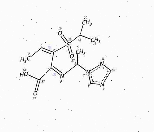 C/C=C(\C(=N/C(C)n1cncn1)C(=O)O)S(=O)(=O)C(C)C